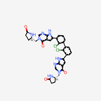 O=C1CC[C@@H](Cn2cnc3[nH]c(-c4cccc(-c5cccc(-c6cc7c(=O)n(C[C@@H]8CCC(=O)N8)cnc7[nH]6)c5Cl)c4Cl)cc3c2=O)N1